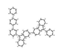 c1ccc(-c2ccc(-c3ccnc(-n4c5ccccc5c5cc(-c6ccc7c(c6)c6ccccc6n7-c6ccccc6)ccc54)n3)cn2)cc1